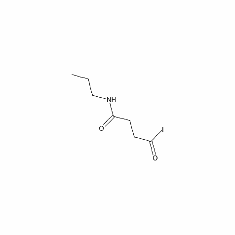 CCCNC(=O)CCC(=O)I